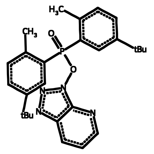 Cc1ccc(C(C)(C)C)cc1P(=O)(On1nnc2cccnc21)c1cc(C(C)(C)C)ccc1C